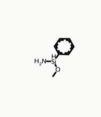 CO[SiH](N)c1ccccc1